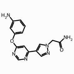 NC(=O)Cn1cc(-c2cc(Oc3cccc(N)c3)ncn2)cn1